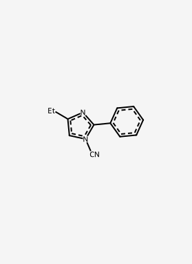 CCc1cn(C#N)c(-c2ccccc2)n1